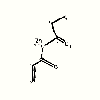 C=CC(=O)OC(=O)CC.[Zn]